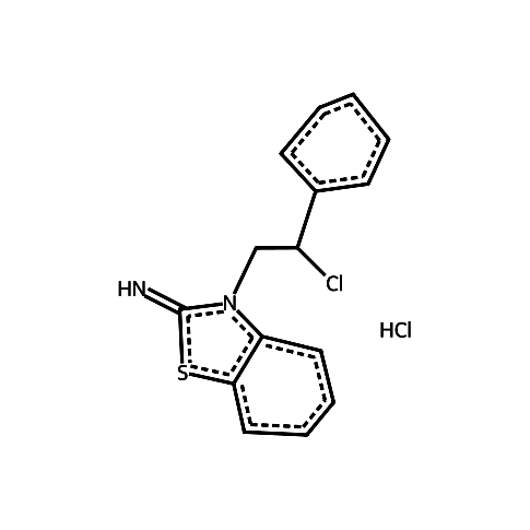 Cl.N=c1sc2ccccc2n1CC(Cl)c1ccccc1